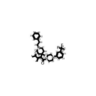 CC(=O)/C(C)=C(/C(=O)N1CCN(c2cccc(C(F)(F)F)c2)CC1)C1(C)CCN(CCc2ccccc2)CC1